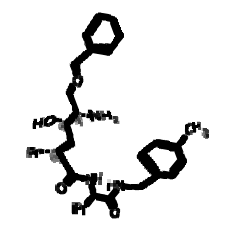 Cc1ccc(CNC(=O)C(NC(=O)[C@@H](C[C@H](O)[C@@H](N)COCc2ccccc2)C(C)C)C(C)C)cc1